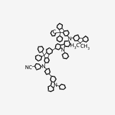 CC1(C)c2ccccc2-c2ccc(N(c3ccc4c(c3)C(c3ccccc3)(c3ccccc3)c3ccccc3-4)c3ccc4c(c3)c3ccc(-c5ccc6c(c5)-c5ccc(N(c7ccc(C#N)cc7)c7ccc(-c8ccc9c(c8)c8ccccc8n9-c8ccccc8)cc7)cc5C6(c5ccccc5)c5ccccc5)cc3n4-c3ccccc3)cc21